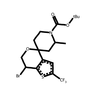 CC1CC2(CCN1C(=O)OC(C)(C)C)OCC(Br)c1sc(C(F)(F)F)cc12